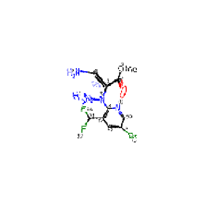 COC(=O)/C(=C/N)N(N)c1ncc(Br)cc1C(F)F